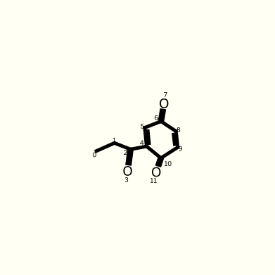 CCC(=O)C1=CC(=O)C=CC1=O